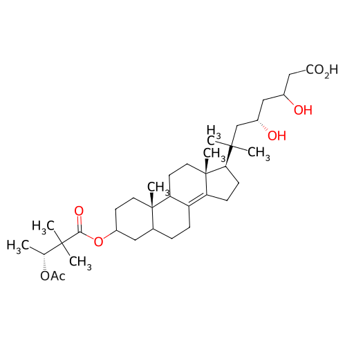 CC(=O)O[C@H](C)C(C)(C)C(=O)OC1CC[C@@]2(C)C(CCC3=C4CC[C@H](C(C)(C)C[C@@H](O)CC(O)CC(=O)O)[C@@]4(C)CCC32)C1